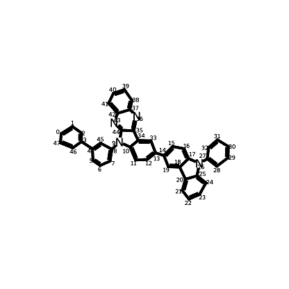 c1ccc(-c2cccc(-n3c4ccc(-c5ccc6c(c5)c5ccccc5n6-c5ccccc5)cc4c4nc5ccccc5nc43)c2)cc1